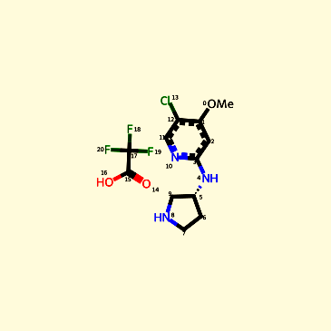 COc1cc(N[C@@H]2CCNC2)ncc1Cl.O=C(O)C(F)(F)F